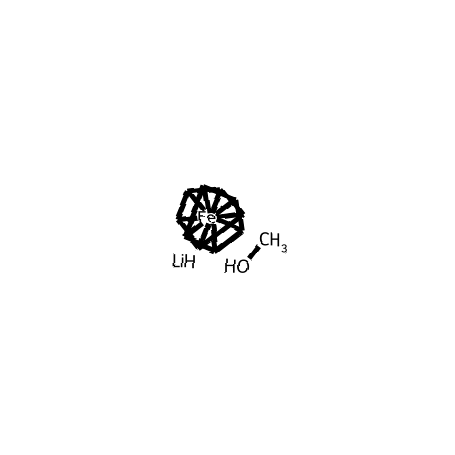 CO.[CH]12[CH]3[CH]4[CH]5[CH]1[Fe]23451678[CH]2[CH]1[CH]6[CH]7[CH]28.[LiH]